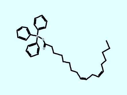 CCCCC/C=C\C/C=C\CCCCCCCC(=O)OS(c1ccccc1)(c1ccccc1)c1ccccc1